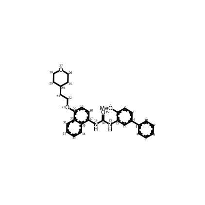 COc1ccc(-c2ccccc2)cc1NC(=O)Nc1ccc(OCCC2CCOCC2)c2ccccc12